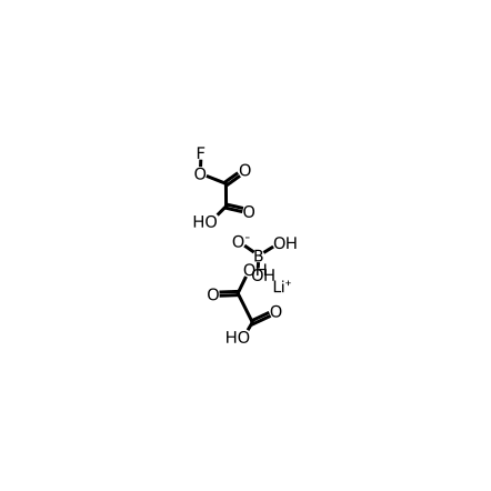 O=C(O)C(=O)O.O=C(O)C(=O)OF.[Li+].[O-]B(O)O